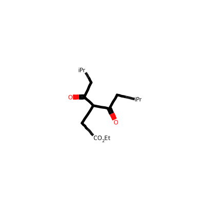 CCOC(=O)CC(C(=O)CC(C)C)C(=O)CC(C)C